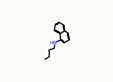 [CH2]CCCNc1cccc2ccccc12